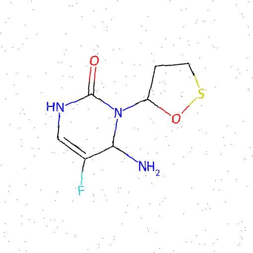 NC1C(F)=CNC(=O)N1C1CCSO1